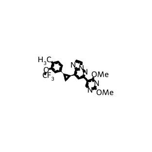 COc1ncc(-c2cc([C@H]3C[C@@H]3c3ccc(C)c(OC(F)(F)F)c3)c3nccn3n2)c(OC)n1